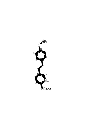 CCCCCc1ccc(CCc2ccc(OCCCC)cc2)cn1